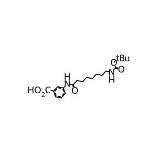 CC(C)(C)OC(=O)NCCCCCCCC(=O)Nc1cccc(C(=O)O)c1